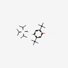 CC(C)[Si](CSc1cc(C(C)(C)C)c(O)cc1C(C)(C)C)(C(C)C)C(C)C